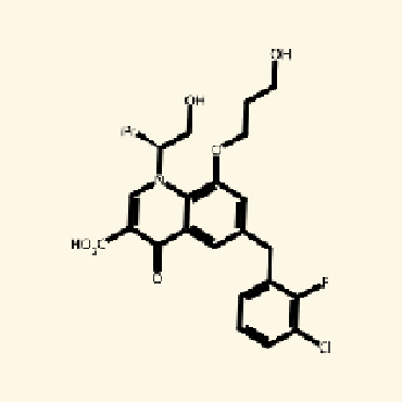 CC(C)[C@@H](CO)n1cc(C(=O)O)c(=O)c2cc(Cc3cccc(Cl)c3F)cc(OCCCO)c21